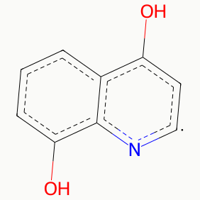 Oc1c[c]nc2c(O)cccc12